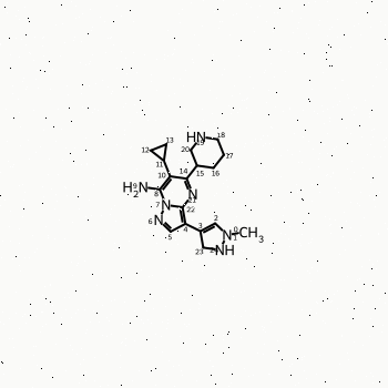 CN1C=C(c2cnn3c(N)c(C4CC4)c(C4CCCNC4)nc23)CN1